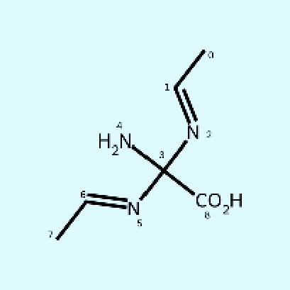 CC=NC(N)(N=CC)C(=O)O